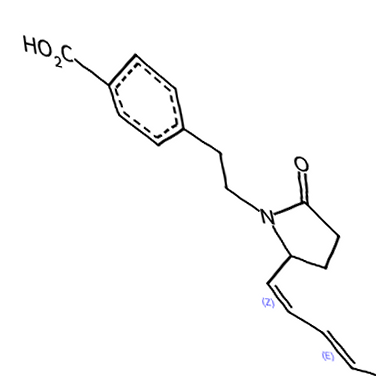 CCC/C=C/C=C\C1CCC(=O)N1CCc1ccc(C(=O)O)cc1